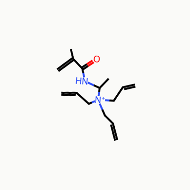 C=CC[N+](CC=C)(CC=C)C(C)NC(=O)C(=C)C